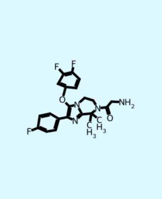 CC1(C)c2nc(-c3ccc(F)cc3)c(Oc3ccc(F)c(F)c3)n2CCN1C(=O)CN